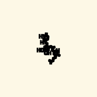 C=C/C(=C\C(=C/CCC(C)C)NC)CC(C)Cc1cc(O)c(O)cc1CNC1CCC(=C)NC1